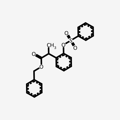 CC(C(=O)OCc1ccccc1)c1ccccc1OS(=O)(=O)c1ccccc1